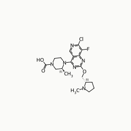 C[C@H]1CN(C(=O)O)CCN1c1nc(OC[C@@H]2CCCN2C)nc2c(F)c(Cl)ncc12